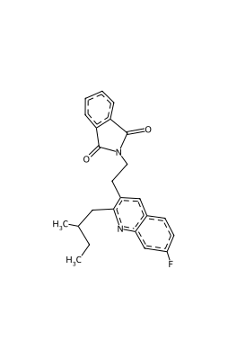 CCC(C)Cc1nc2cc(F)ccc2cc1CCN1C(=O)c2ccccc2C1=O